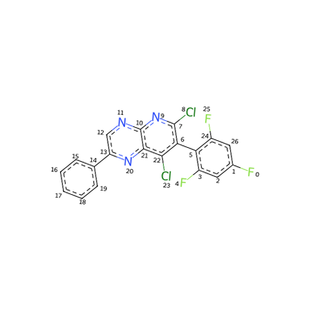 Fc1cc(F)c(-c2c(Cl)nc3ncc(-c4ccccc4)nc3c2Cl)c(F)c1